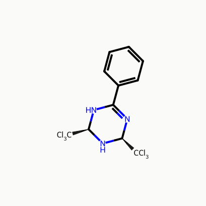 ClC(Cl)(Cl)[C@H]1NC(c2ccccc2)=N[C@@H](C(Cl)(Cl)Cl)N1